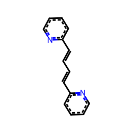 C(/C=C/c1ccccn1)=C\c1ccccn1